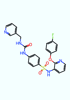 O=C(NCc1cccnc1)Nc1ccc(S(=O)(=O)Nc2cccnc2Oc2ccc(F)cc2)cc1